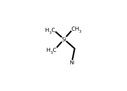 C[Si](C)(C)C[N]